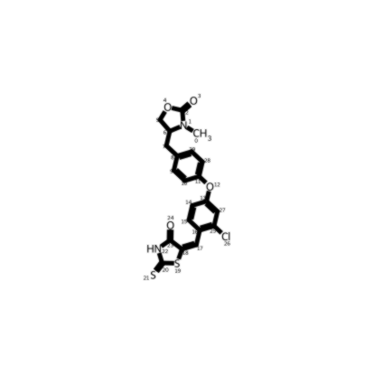 CN1C(=O)OCC1Cc1ccc(Oc2ccc(/C=C3/SC(=S)NC3=O)c(Cl)c2)cc1